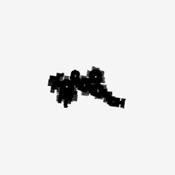 O=C(c1cc(C(F)(F)F)cc(C(F)(F)F)c1)N1CCC(N2CCN(CCO)CC2)C(c2ccccc2)C1